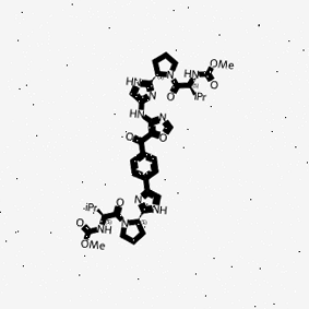 COC(=O)N[C@H](C(=O)N1CCC[C@H]1c1nc(Nc2ncoc2C(=O)c2ccc(-c3c[nH]c([C@@H]4CCCN4C(=O)[C@@H](NC(=O)OC)C(C)C)n3)cc2)c[nH]1)C(C)C